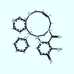 O=C1c2c(O)c(=O)ccn2N2CN1C/C=C\COc1cnccc1[C@H]2c1ccccc1